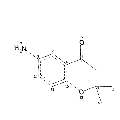 CC1(C)CC(=O)c2cc(N)ccc2O1